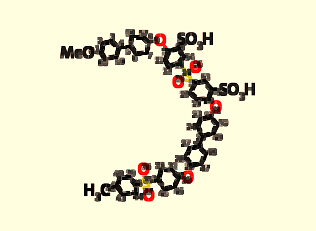 COc1ccc(-c2ccc(Oc3ccc(S(=O)(=O)c4ccc(Oc5ccc(-c6ccc(Oc7ccc(S(=O)(=O)c8ccc(C)cc8)cc7)cc6)cc5)c(S(=O)(=O)O)c4)cc3S(=O)(=O)O)cc2)cc1